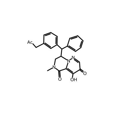 CC(=O)Cc1cccc(C(c2ccccc2)C2CN(C)C(=O)c3c(O)c(=O)cnn32)c1